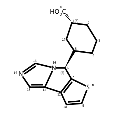 O=C(O)[C@@H]1CCCC([C@H]2c3sccc3-c3cncn32)C1